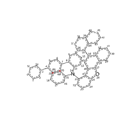 c1ccc(-c2ccc(-c3ccccc3N(c3ccccc3)c3cccc4oc5c6ccccc6c(-c6cccc7ccccc67)cc5c34)cc2)cc1